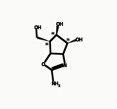 NC1=NC2C(O1)[C@H](CO)[C@@H](O)[C@@H]2O